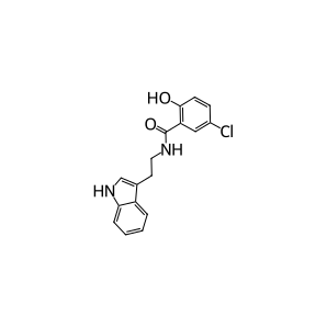 O=C(NCCc1c[nH]c2ccccc12)c1cc(Cl)ccc1O